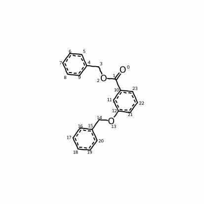 O=C(OCc1ccccc1)c1[c]c(OCc2ccccc2)ccc1